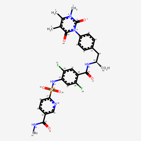 Cc1c(C)n(C)c(=O)n(-c2ccc(C[C@H](NC(=O)c3cc(F)c(NS(=O)(=O)c4ccc(C(=O)NC(C)(C)C)cn4)cc3F)C(=O)O)cc2)c1=O